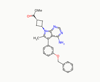 COC(=O)[C@H]1C[C@@H](n2c(C)c(-c3cccc(OCc4ccccc4)c3)c3c(N)ncnc32)C1